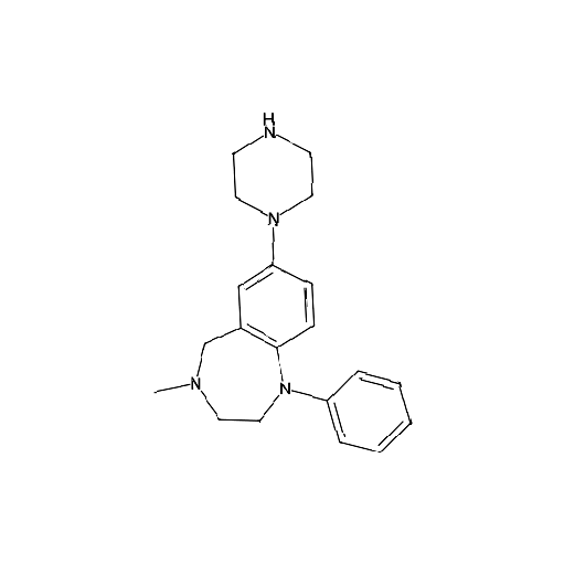 CN1CCN(c2ccccc2)c2ccc(N3CCNCC3)cc2C1